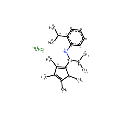 CC1=C(C)C(C)[C]([Hf]([NH]c2ccccc2C(C)C)[SiH](C)C)=C1C.Cl.Cl